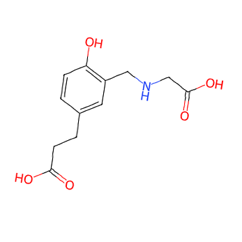 O=C(O)CCc1ccc(O)c(CNCC(=O)O)c1